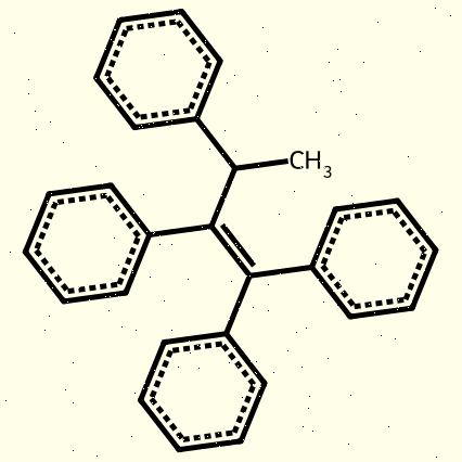 CC(C(=C(c1ccccc1)c1ccccc1)c1ccccc1)c1ccccc1